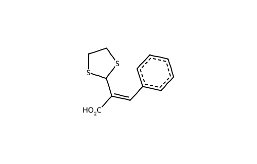 O=C(O)C(=Cc1ccccc1)C1SCCS1